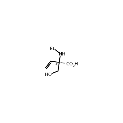 C=C[C@](CO)(NCC)C(=O)O